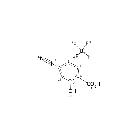 F[B-](F)(F)F.N#[N+]c1ccc(C(=O)O)c(O)c1